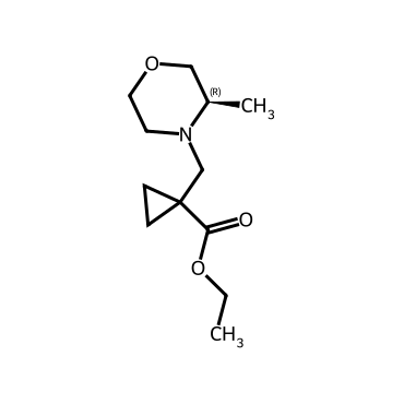 CCOC(=O)C1(CN2CCOC[C@H]2C)CC1